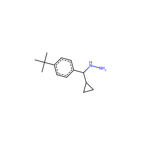 CC(C)(C)c1ccc(C(NN)C2CC2)cc1